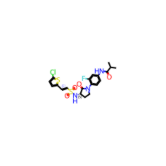 CC(C)C(=O)Nc1ccc(N2CC[C@H](NS(=O)(=O)/C=C/c3ccc(Cl)s3)C2=O)c(F)c1